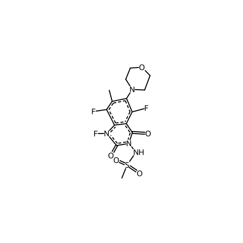 Cc1c(N2CCOCC2)c(F)c2c(=O)n(NS(C)(=O)=O)c(=O)n(F)c2c1F